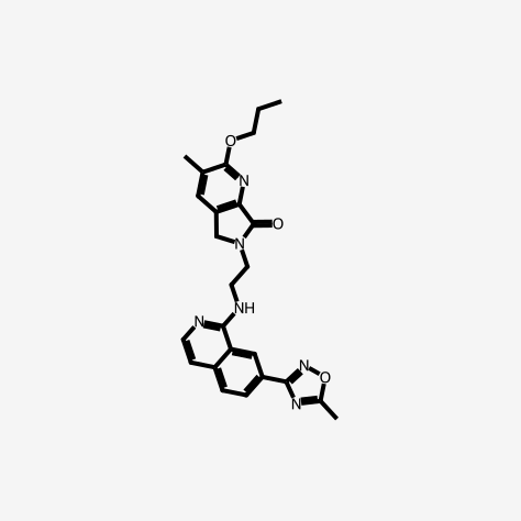 CCCOc1nc2c(cc1C)CN(CCNc1nccc3ccc(-c4noc(C)n4)cc13)C2=O